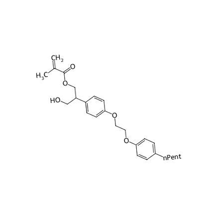 C=C(C)C(=O)OCC(CO)c1ccc(OCCOc2ccc(CCCCC)cc2)cc1